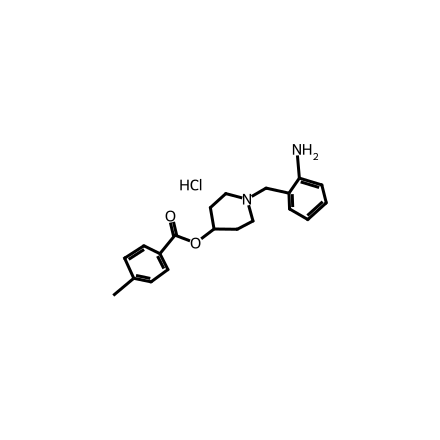 Cc1ccc(C(=O)OC2CCN(Cc3ccccc3N)CC2)cc1.Cl